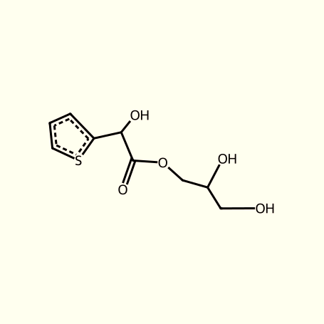 O=C(OCC(O)CO)C(O)c1cccs1